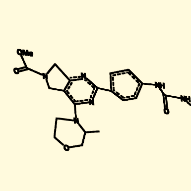 CCNC(=O)Nc1ccc(-c2nc3c(c(N4CCOCC4C)n2)CN(C(=O)OC)C3)cc1